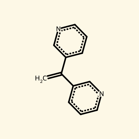 C=C(c1cccnc1)c1cccnc1